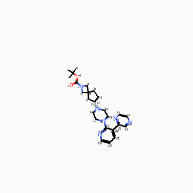 CC(C)(C)OC(=O)N1CC2(CC[C@H](N3CCN(c4ncccc4-c4cnccn4)CC3)C2)C1